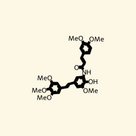 COc1ccc(/C=C/C(=O)Nc2cc(/C=C/c3cc(OC)c(OC)c(OC)c3)cc(OC)c2O)cc1OC